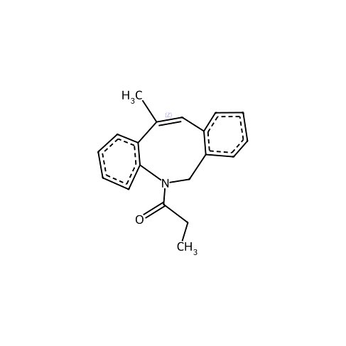 CCC(=O)N1Cc2ccccc2/C=C(/C)c2ccccc21